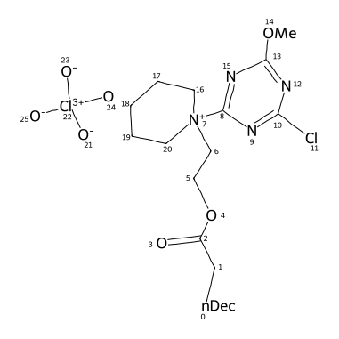 CCCCCCCCCCCC(=O)OCC[N+]1(c2nc(Cl)nc(OC)n2)CCCCC1.[O-][Cl+3]([O-])([O-])[O-]